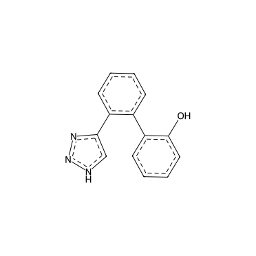 Oc1ccccc1-c1ccccc1-c1c[nH]nn1